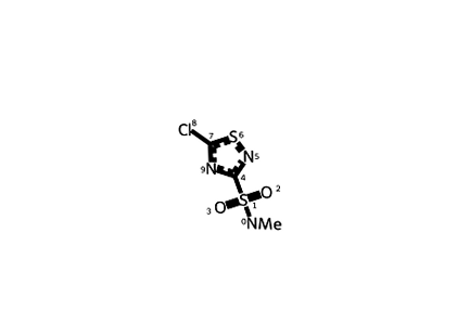 CNS(=O)(=O)c1nsc(Cl)n1